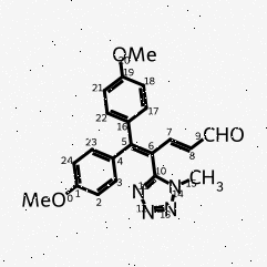 COc1ccc(C(=C(C=CC=O)c2nnnn2C)c2ccc(OC)cc2)cc1